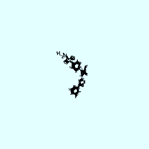 CC1(C)[C@H](c2ccc(S(N)(=O)=O)cc2)[C@H]1c1noc(-c2cccc(F)c2)n1